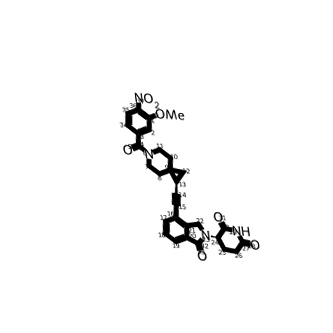 COc1cc(C(=O)N2CCC3(CC2)C[C@H]3C#Cc2cccc3c2CN([C@H]2CCC(=O)NC2=O)C3=O)ccc1[N+](=O)[O-]